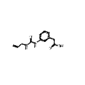 C=CCNC(=O)Nc1cccc(CC(=O)O)c1